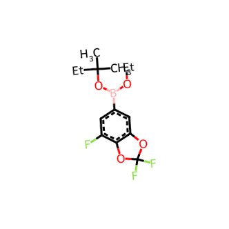 CCOB(OC(C)(C)CC)c1cc(F)c2c(c1)OC(F)(F)O2